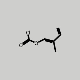 C=CC(C)=COC(=O)Cl